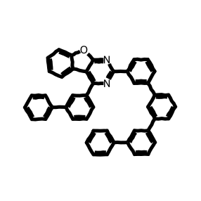 c1ccc(-c2cccc(-c3cccc(-c4cccc(-c5nc(-c6cccc(-c7ccccc7)c6)c6c(n5)oc5ccccc56)c4)c3)c2)cc1